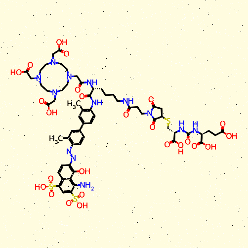 Cc1cc(-c2ccc(NC(=O)[C@@H](CCCCNC(=O)CCN3C(=O)CC(SC[C@H](NC(=O)N[C@@H](CCC(=O)O)C(=O)O)C(=O)O)C3=O)NC(=O)CN3CCN(CC(=O)O)CCN(CC(=O)O)CCN(CC(=O)O)CC3)c(C)c2)ccc1N=Nc1ccc2c(S(=O)(=O)O)cc(S(=O)(=O)O)c(N)c2c1O